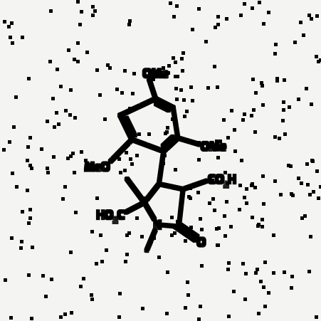 COc1cc(OC)c(C2C(C(=O)O)C(=O)N(C)C2(C)C(=O)O)c(OC)c1